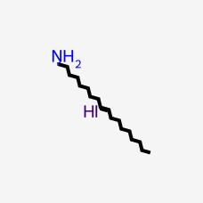 CCCCCCCCC=CCCCCCCCCN.I